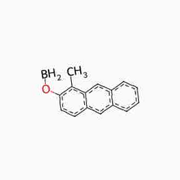 BOc1ccc2cc3ccccc3cc2c1C